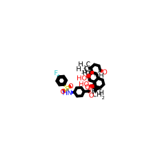 C=C1C(=O)[C@]23[C@H](OC(=O)C4CCC(NS(=O)(=O)c5ccc(F)cc5)CC4)[C@H]1CC[C@H]2[C@@]12CO[C@]3(O)[C@@H](O)[C@@H]1C(C)(C)CCC2=O